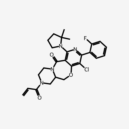 C=CC(=O)N1CCN2C(=O)c3c(N4CCCC4(C)C)nc(-c4ccccc4F)c(Cl)c3OCC2C1